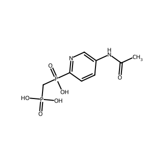 CC(=O)Nc1ccc(P(=O)(O)CP(=O)(O)O)nc1